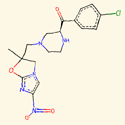 CC1(CN2CCN[C@H](C(=O)c3ccc(Cl)cc3)C2)Cn2cc([N+](=O)[O-])nc2O1